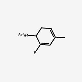 CC(=O)NC1CC=C(C)C=C1F